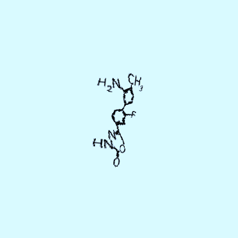 Cc1ccc(-c2ccc(C3=NNC(=O)OC3)cc2F)cc1N